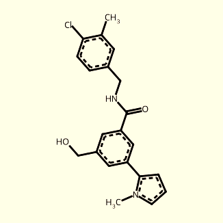 Cc1cc(CNC(=O)c2cc(CO)cc(-c3cccn3C)c2)ccc1Cl